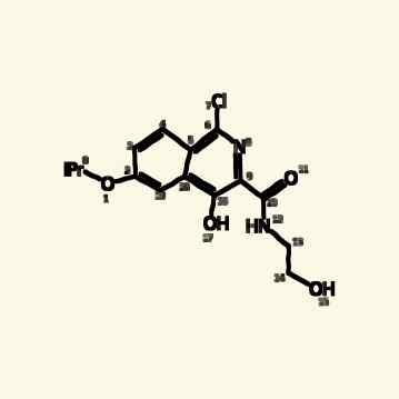 CC(C)Oc1ccc2c(Cl)nc(C(=O)NCCO)c(O)c2c1